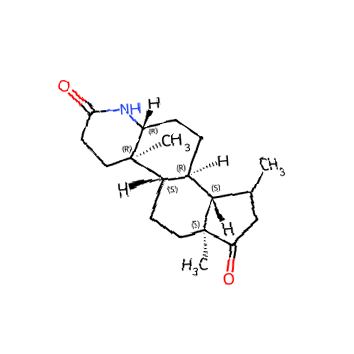 CC1CC(=O)[C@@]2(C)CC[C@H]3[C@@H](CC[C@H]4NC(=O)CC[C@@]43C)[C@H]12